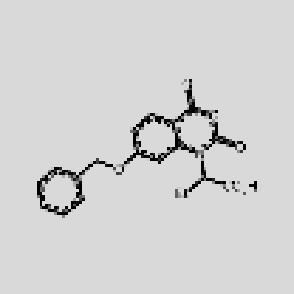 CCC(C(=O)O)n1c(=O)oc(=O)c2ccc(OCc3ccccc3)cc21